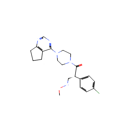 CONC[C@@H](C(=O)N1CCN(c2ncnc3c2[C@H](C)CC3)CC1)c1ccc(Cl)cc1